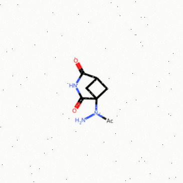 CC(=O)N(N)C12CC(C1)C(=O)NC2=O